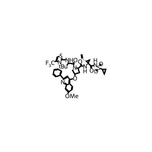 C=C[C@@H]1C[C@]1(NC(=O)C1CC(Oc2cc(-c3ccccc3)nc3cc(OC)ccc23)CN1C(=O)C(Nc1nc(C(F)(F)F)cs1)C(C)(C)C)C(=O)NS(=O)(=O)C1CC1